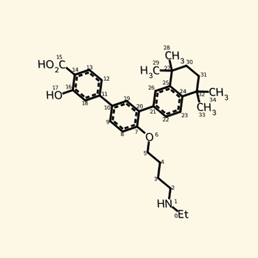 CCNCCCCOc1ccc(-c2ccc(C(=O)O)c(O)c2)cc1-c1ccc2c(c1)C(C)(C)CCC2(C)C